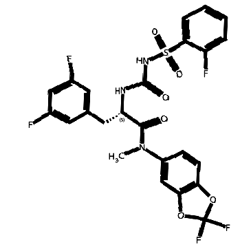 CN(C(=O)[C@H](Cc1cc(F)cc(F)c1)NC(=O)NS(=O)(=O)c1ccccc1F)c1ccc2c(c1)OC(F)(F)O2